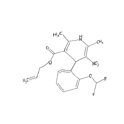 C=CCOC(=O)C1=C(C)NC(C)=C([N+](=O)[O-])C1c1ccccc1OC(F)F